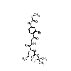 C=CC[C@H](NC(=O)OC(C)(C)C)C(=O)NCC(=O)c1ccc(NC(=O)OC)cc1Br